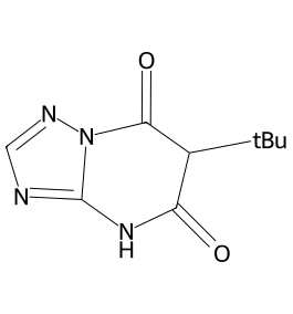 CC(C)(C)C1C(=O)Nc2ncnn2C1=O